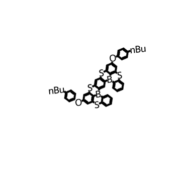 CCCCc1ccc(Oc2cc3c4c(c2)Sc2cc5c(cc2B4c2ccccc2S3)B2c3ccccc3Sc3cc(Oc4ccc(CCCC)cc4)cc(c32)S5)cc1